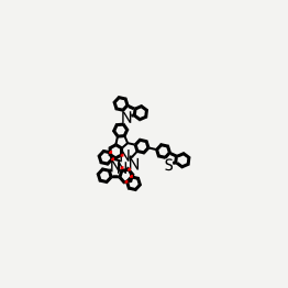 c1ccc(-c2nc(-c3ccccc3)nc(-c3cc(-c4ccc5c(c4)sc4ccccc45)ccc3C3c4cc(-n5c6ccccc6c6ccccc65)ccc4-c4ccc(-n5c6ccccc6c6ccccc65)cc43)n2)cc1